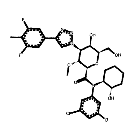 CO[C@@H]1[C@@H](n2cc(-c3cc(F)c(C)c(F)c3)nn2)[C@@H](O)[C@@H](CO)O[C@H]1C(=O)N(c1cc(Cl)cc(Cl)c1)[C@H]1CCCC[C@@H]1O